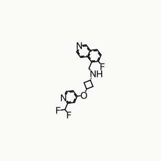 Fc1ccc2cnccc2c1CN[C@H]1C[C@H](Oc2ccnc(C(F)F)c2)C1